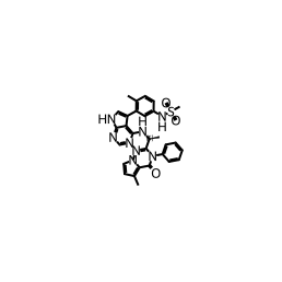 Cc1ccc(NS(C)(=O)=O)cc1-c1c[nH]c2ncnc(N[C@@H](C)c3nn4ccc(C)c4c(=O)n3-c3ccccc3)c12